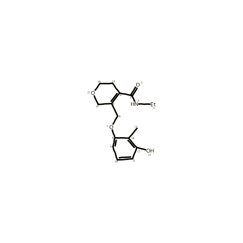 CCNC(=O)C1=C(COc2cccc(O)c2C)COCC1